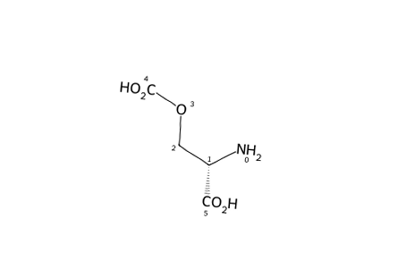 N[C@@H](COC(=O)O)C(=O)O